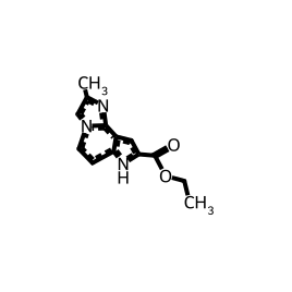 CCOC(=O)c1cc2c(ccn3cc(C)nc23)[nH]1